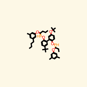 CCCCc1cc(C)cc(OC(CCC)POc2ccc(C(C)(C)C)cc2-c2cc(OC(C)(C)C)ccc2OPC(CC)Oc2cc(C)cc(C)c2)c1